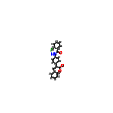 O=C(Nc1ccc(-c2cc3ccccc3oc2=O)cc1)c1ccccc1F